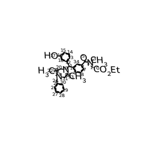 CCOC(=O)CN(C)C(=O)c1cccc(C(c2cccc(O)c2)N2C[C@@H](C)N(Cc3ccccc3)C[C@@H]2C)c1